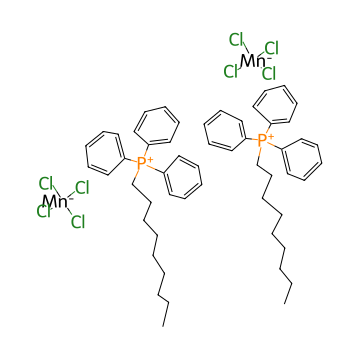 CCCCCCCCC[P+](c1ccccc1)(c1ccccc1)c1ccccc1.CCCCCCCCC[P+](c1ccccc1)(c1ccccc1)c1ccccc1.[Cl][Mn-]([Cl])([Cl])[Cl].[Cl][Mn-]([Cl])([Cl])[Cl]